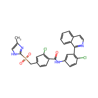 Cc1c[nH]c(S(=O)(=O)Cc2ccc(C(=O)Nc3ccc(Cl)c(-c4nccc5ccccc45)c3)c(Cl)c2)n1